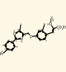 CCOC(=O)/C(=C/c1ccc(OCc2nc(-c3ccc(C(C)C)cc3)oc2C)cc1C)OCC